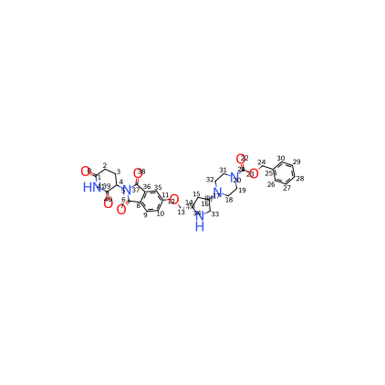 O=C1CCC(N2C(=O)c3ccc(OC[C@@H]4C[C@@H](N5CCN(C(=O)OCc6ccccc6)CC5)CN4)cc3C2=O)C(=O)N1